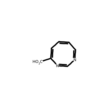 O=C(O)C1=CC=CC=NC=N1